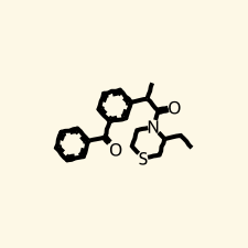 CCC1CSCCN1C(=O)C(C)c1cccc(C(=O)c2ccccc2)c1